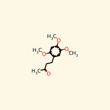 COc1cc(OC)c(OC)cc1CCC(C)=O